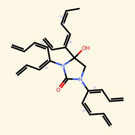 C=C/C=C\C(=C/C=C)N1CC(O)(/C(C=C)=C/C=C\C)N(C(/C=C\C=C)=C/C=C)C1=O